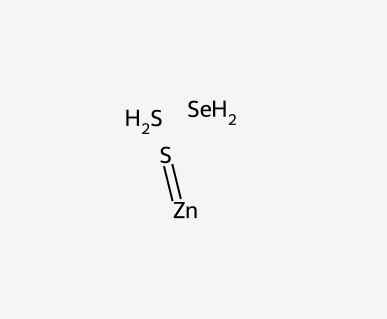 S.[S]=[Zn].[SeH2]